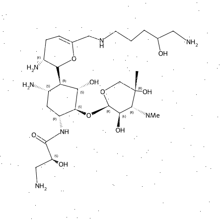 CN[C@@H]1[C@@H](O)[C@@H](O[C@@H]2[C@@H](O)[C@H](C3OC(CNCCCC(O)CN)=CC[C@H]3N)[C@@H](N)C[C@H]2NC(=O)[C@@H](O)CN)OC[C@]1(C)O